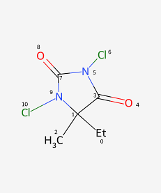 CCC1(C)C(=O)N(Cl)C(=O)N1Cl